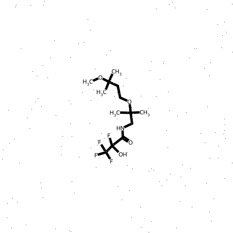 COC(C)(C)CCOC(C)(C)CNC(=O)C(O)(F)C(F)(F)F